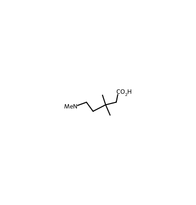 CNCCC(C)(C)CC(=O)O